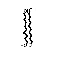 OCCCCCCCCCCO.OCCCCCCCCCCO